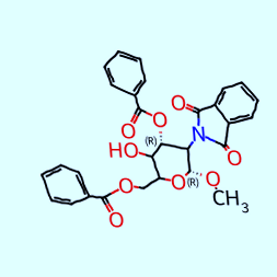 CO[C@@H]1OC(COC(=O)c2ccccc2)C(O)[C@H](OC(=O)c2ccccc2)C1N1C(=O)c2ccccc2C1=O